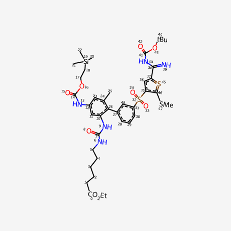 CCOC(=O)CCCCCNC(=O)Nc1cc(NC(=O)OCC[Si](C)(C)C)cc(C)c1-c1cccc(S(=O)(=O)c2cc(C(=N)NC(=O)OC(C)(C)C)sc2SC)c1